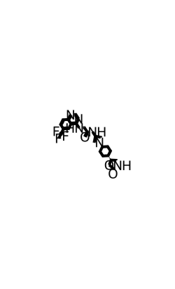 O=C(CNc1ncnc2ccc(C(F)(F)F)cc12)NC1CN([C@H]2CC[C@@H](C3CNC(=O)O3)CC2)C1